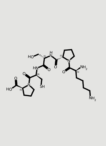 NCCCC[C@H](N)C(=O)N1CCC[C@H]1C(=O)N[C@@H](CO)C(=O)N[C@@H](CS)C(=O)N1CCC[C@H]1C(=O)O